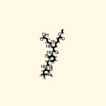 CCOC(=O)C=CCCC(NC(=O)CCC(=O)O)C(=O)Nc1cccn(CC(=O)NC(CC(C)(C)C)C(=O)OC)c1=O